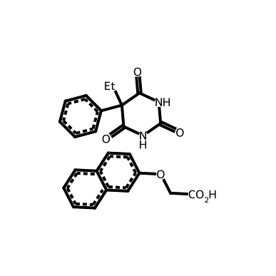 CCC1(c2ccccc2)C(=O)NC(=O)NC1=O.O=C(O)COc1ccc2ccccc2c1